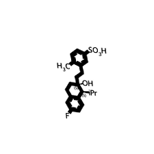 Cc1ccc(S(=O)(=O)O)cc1CC[C@]1(O)CCc2cc(F)ccc2[C@@H]1C(C)C